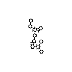 c1ccc(-c2cccc(-c3nc(-c4ccc(-c5ccc6c(c5)oc5cccc(-c7nc(-c8ccccc8)nc(-c8ccccc8)n7)c56)cc4)c4sc5ccccc5c4n3)c2)cc1